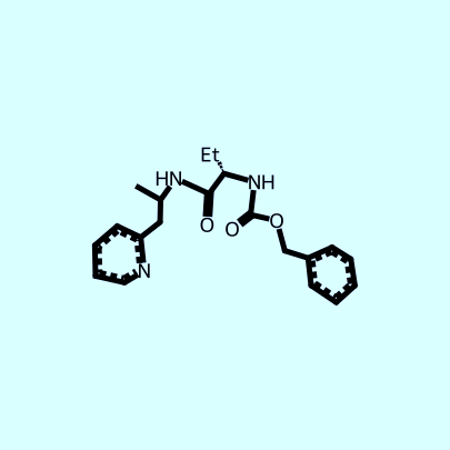 CC[C@H](NC(=O)OCc1ccccc1)C(=O)NC(C)Cc1ccccn1